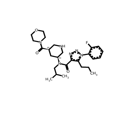 CCCc1c(C(=O)N(CC(C)C)[C@@H]2CNC[C@H](C(=O)N3CCOCC3)C2)nnn1-c1ccccc1F